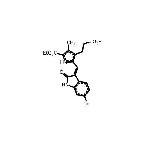 CCOC(=O)c1[nH]c(C=C2C(=O)Nc3cc(Br)ccc32)c(CCC(=O)O)c1C